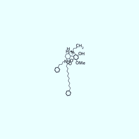 C=CCN1CC[C@]23c4c5c(O)cc(OC)c4O[C@H]2[C@@H](N(CCCc2ccccc2)C(=O)CCCCCCCCCCc2ccccc2)CC[C@H]3[C@H]1C5